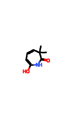 CC1(C)C=CC=C(O)NC1=O